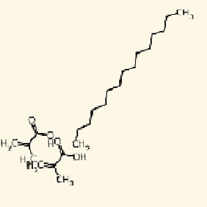 C=C(C)C(=O)O.C=C(C)C(=O)O.CCCCCCCCCCCCCCC